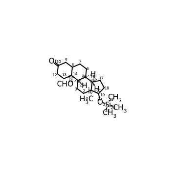 C[C@]12CC[C@@H]3[C@@H](CCC4CC(=O)CC[C@@]43C=O)[C@@H]1CCC2O[Si](C)(C)C